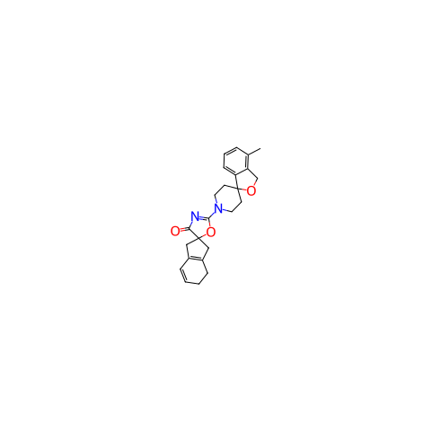 Cc1cccc2c1COC21CCN(C2=NC(=O)C3(CC4=C(CCC=C4)C3)O2)CC1